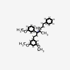 COc1cc(CC/C(=C(\C)NCCc2ccccc2)c2cccc(OC)c2)cc(OC)c1